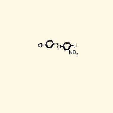 O=[N+]([O-])c1cc(OCc2ccc(Cl)cc2)ccc1Cl